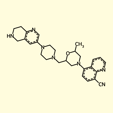 CC1CN(c2ccc(C#N)c3ncccc23)CC(CN2CCN(c3cnc4c(c3)CNCC4)CC2)O1